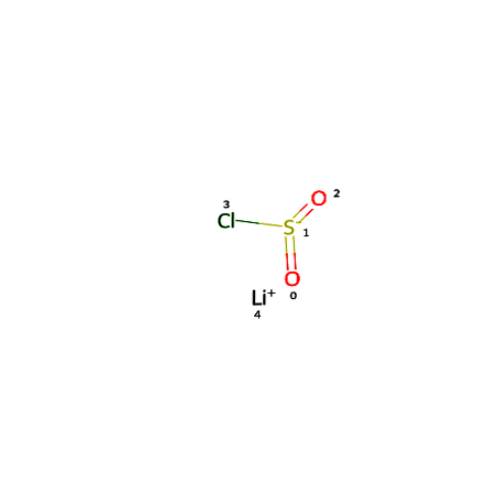 O=[S-](=O)Cl.[Li+]